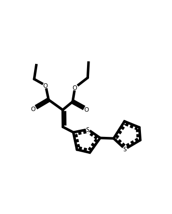 CCOC(=O)C(=Cc1ccc(-c2cccs2)s1)C(=O)OCC